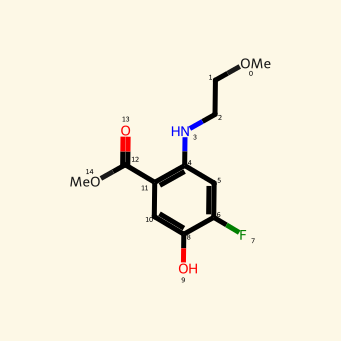 COCCNc1cc(F)c(O)cc1C(=O)OC